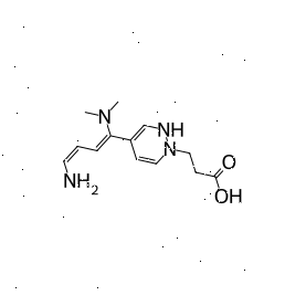 CN(C)/C(=C\C=C/N)C1=CNN(CCC(=O)O)C=C1